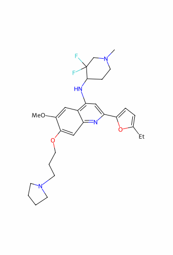 CCc1ccc(-c2cc(NC3CCN(C)CC3(F)F)c3cc(OC)c(OCCCN4CCCC4)cc3n2)o1